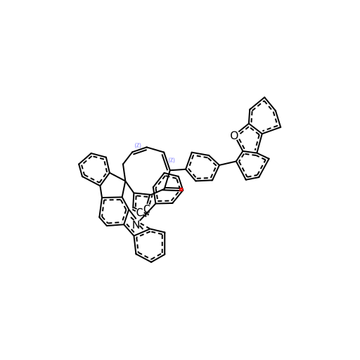 C=C1/C(c2ccc(-c3cccc4c3oc3ccccc34)cc2)=C\C=C/CC2(c3ccccc31)c1ccccc1-c1ccc3c4ccccc4n(-c4ccccc4)c3c12